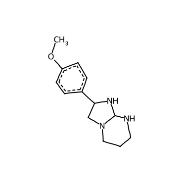 COc1ccc(C2CN3CCCNC3N2)cc1